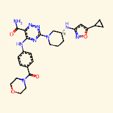 NC(=O)c1nnc(N2CCC[C@@H](Nc3cc(C4CC4)on3)C2)nc1Nc1ccc(C(=O)N2CCOCC2)cc1